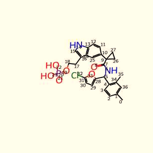 Cc1ccc(C(NC(=O)C2(c3ccc4[nH]cc(CCOP(=O)(O)O)c4c3)CC2)c2ccc(Cl)o2)c(C)c1